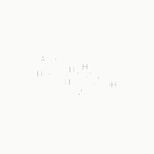 CC(=O)O[C@H]1[C@H](O)C[C@H]2[C@@H]3CC(=O)c4cc(O)ccc4[C@H]3CC[C@@]21C